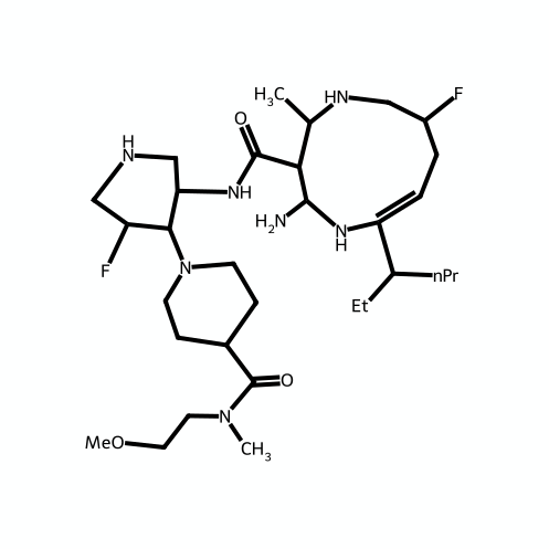 CCCC(CC)/C1=C/CC(F)CNC(C)C(C(=O)NC2CNCC(F)C2N2CCC(C(=O)N(C)CCOC)CC2)C(N)N1